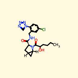 CCCCC(O)C(=O)N1[C@@H]2C[C@@H]2C[C@H]1C(=O)NCc1cc(Cl)ccc1-n1cnnn1